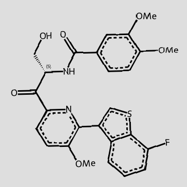 COc1ccc(C(=O)N[C@@H](CO)C(=O)c2ccc(OC)c(-c3csc4c(F)cccc34)n2)cc1OC